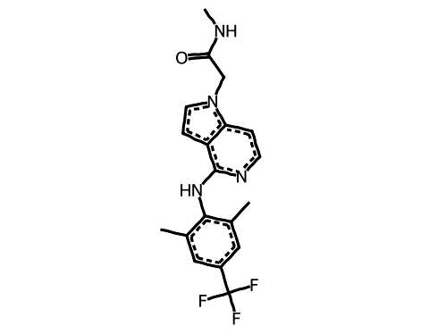 CNC(=O)Cn1ccc2c(Nc3c(C)cc(C(F)(F)F)cc3C)nccc21